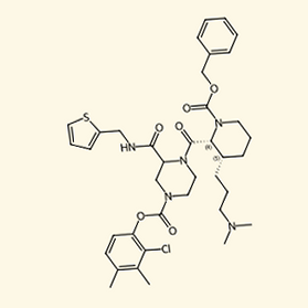 Cc1ccc(OC(=O)N2CCN(C(=O)[C@H]3[C@@H](CCCN(C)C)CCCN3C(=O)OCc3ccccc3)C(C(=O)NCc3cccs3)C2)c(Cl)c1C